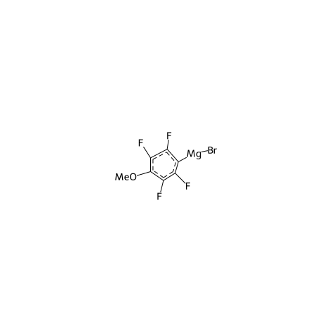 COc1c(F)c(F)[c]([Mg][Br])c(F)c1F